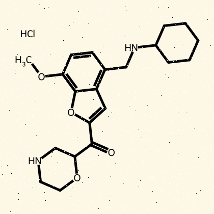 COc1ccc(CNC2CCCCC2)c2cc(C(=O)C3CNCCO3)oc12.Cl